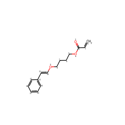 C=CC(=O)OCCCCOC=Cc1ccccc1